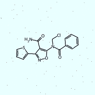 NC(=O)c1c(-c2cccs2)noc1N(CCl)C(=O)c1ccccc1